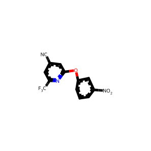 N#Cc1cc(Oc2cccc([N+](=O)[O-])c2)nc(C(F)(F)F)c1